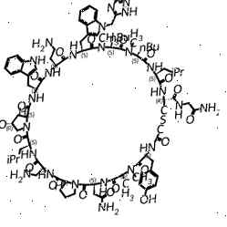 CCCC[C@H]1C(=O)N(C)[C@@H](CCCC)C(=O)N[C@@H](CC(C)C)C(=O)N[C@H](C(=O)NCC(N)=O)CSCC(=O)N[C@@H](Cc2ccc(O)cc2)C(=O)N(C)[C@@H](C)C(=O)N[C@@H](CC(N)=O)C(=O)N2CCC[C@H]2C(=O)N[C@@H](CN)C(=O)N[C@@H](CC(C)C)C(=O)N2C[C@H](O)C[C@H]2C(=O)N[C@@H](Cc2c[nH]c3ccccc23)C(=O)N[C@@H](CCN)C(=O)N[C@@H](Cc2cn(Cc3nnn[nH]3)c3ccccc23)C(=O)N1C